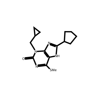 CSc1nc(=O)n(CC2CC2)c2nc(C3CCCC3)[nH]c12